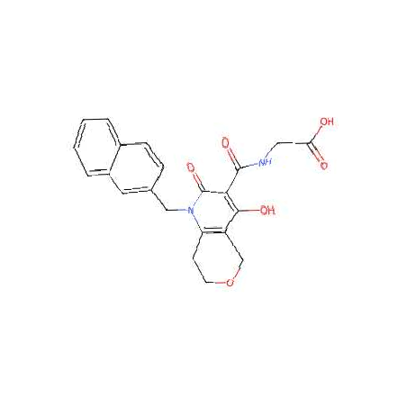 O=C(O)CNC(=O)c1c(O)c2c(n(Cc3ccc4ccccc4c3)c1=O)CCOC2